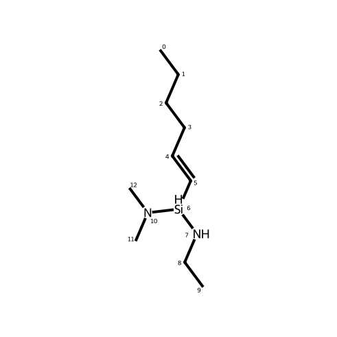 CCCCC=C[SiH](NCC)N(C)C